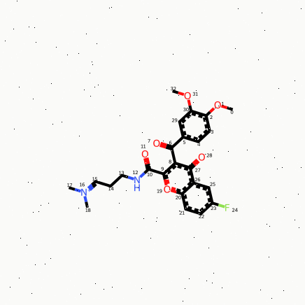 COc1ccc(C(=O)c2c(C(=O)NCCC=[N+](C)C)oc3ccc(F)cc3c2=O)cc1OC